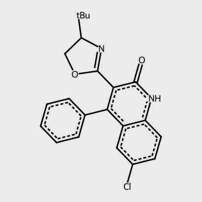 CC(C)(C)C1COC(c2c(-c3ccccc3)c3cc(Cl)ccc3[nH]c2=O)=N1